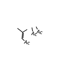 CC(=O)C=C(C)C.CC(C)=O.CC(C)=O